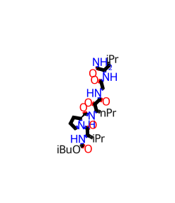 CCCC(NC(=O)[C@@H]1CCCN1C(=O)C(NC(=O)OCC(C)C)C(C)C)C(=O)C(=O)NCC(=O)NC(CC(C)C)C(N)=O